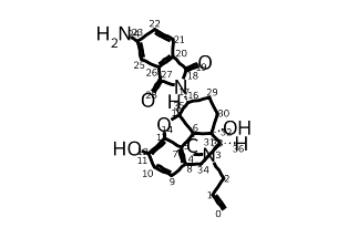 C=CCN1CC[C@]23c4c5ccc(O)c4O[C@H]2[C@H](N2C(=O)c4ccc(N)cc4C2=O)CC[C@@]3(O)[C@H]1C5